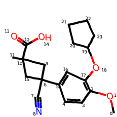 COc1ccc(C2(C#N)CC(C)(C(=O)O)C2)cc1OC1CCCC1